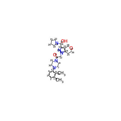 Cc1cccc(N2CCN(C(=O)Cn3nc(C(O)N4CCCC4)c4c3CCOC4)CC2)c1C